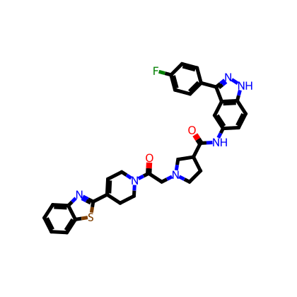 O=C(Nc1ccc2[nH]nc(-c3ccc(F)cc3)c2c1)C1CCN(CC(=O)N2CC=C(c3nc4ccccc4s3)CC2)C1